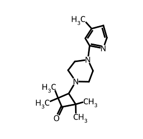 Cc1ccnc(N2CCN(C3C(C)(C)C(=O)C3(C)C)CC2)c1